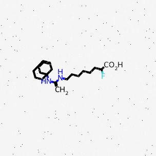 C=C(NCCCCCCC(F)C(=O)O)NC12CC=C=C(CCC1)C2